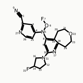 N#Cc1cc(N(OF)c2cc(N3CCC(F)C3)nc3c2CCOCC3)ccn1